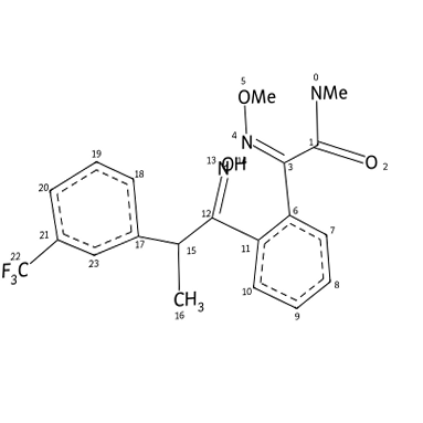 CNC(=O)/C(=N\OC)c1ccccc1/C(=N\O)C(C)c1cccc(C(F)(F)F)c1